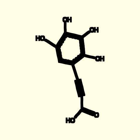 O=C(O)C#Cc1cc(O)c(O)c(O)c1O